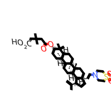 C=C(C)[C@@H]1CC[C@]2(CCN3CCS(=O)(=O)CC3)CC[C@]3(C)[C@H](CC[C@@H]4[C@@]5(C)CC[C@H](OC(=O)CC(C)(C)CC(=O)O)C(C)(C)[C@@H]5CC[C@]43C)[C@@H]12